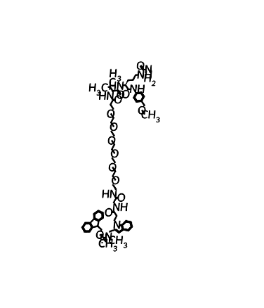 COCc1ccc(NC(=O)[C@H](CCCNC(N)=O)NC(=O)[C@@H](NC(=O)CCOCCOCCOCCOCCOCCOCCNC(=O)CNC(=O)CCn2c(CN(C)N(C)OCC3c4ccccc4-c4ccccc43)cc3ccccc32)C(C)C)cc1